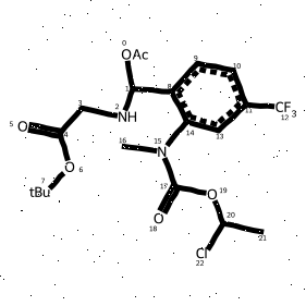 CC(=O)OC(NCC(=O)OC(C)(C)C)c1ccc(C(F)(F)F)cc1N(C)C(=O)OC(C)Cl